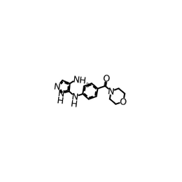 Nc1cn[nH]c1Nc1ccc(C(=O)N2CCOCC2)cc1